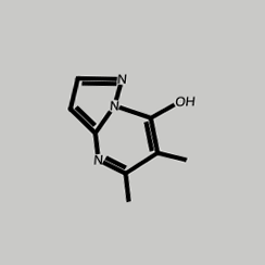 Cc1nc2ccnn2c(O)c1C